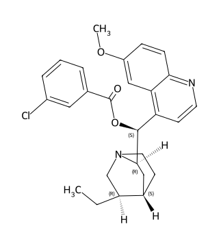 CC[C@H]1CN2CC[C@H]1C[C@@H]2[C@@H](OC(=O)c1cccc(Cl)c1)c1ccnc2ccc(OC)cc12